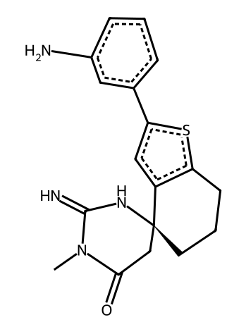 CN1C(=N)N[C@@]2(CCCc3sc(-c4cccc(N)c4)cc32)CC1=O